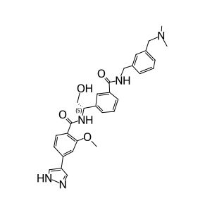 COc1cc(-c2cn[nH]c2)ccc1C(=O)N[C@H](CO)c1cccc(C(=O)NCc2cccc(CN(C)C)c2)c1